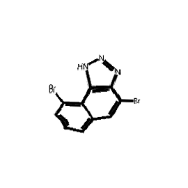 Brc1cc2cccc(Br)c2c2[nH]nnc12